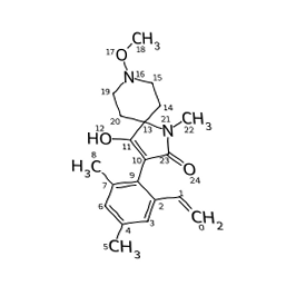 C=Cc1cc(C)cc(C)c1C1=C(O)C2(CCN(OC)CC2)N(C)C1=O